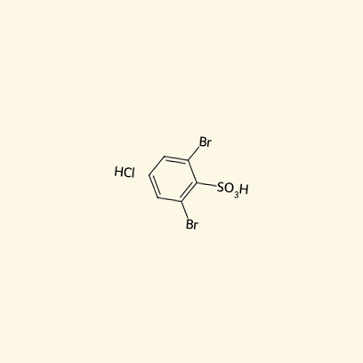 Cl.O=S(=O)(O)c1c(Br)cccc1Br